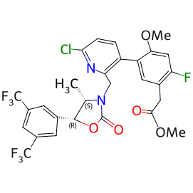 COC(=O)Cc1cc(-c2ccc(Cl)nc2CN2C(=O)O[C@H](c3cc(C(F)(F)F)cc(C(F)(F)F)c3)[C@@H]2C)c(OC)cc1F